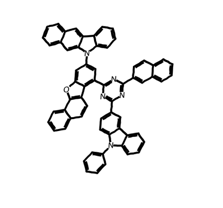 c1ccc(-n2c3ccccc3c3cc(-c4nc(-c5ccc6ccccc6c5)nc(-c5cc(-n6c7ccccc7c7cc8ccccc8cc76)cc6oc7c8ccccc8ccc7c56)n4)ccc32)cc1